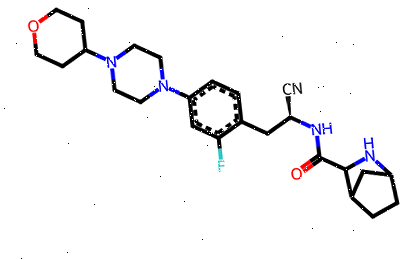 N#C[C@H](Cc1ccc(N2CCN(C3CCOCC3)CC2)cc1F)NC(=O)C1NC2CCC1C2